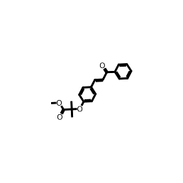 COC(=O)C(C)(C)Oc1ccc(C=CC(=O)c2ccccc2)cc1